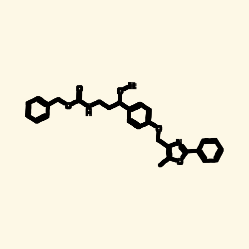 CCOC(CCNC(=O)OCc1ccccc1)c1ccc(OCc2nc(-c3ccccc3)oc2C)cc1